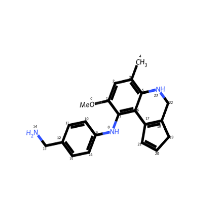 COc1cc(C)c2c(c1Nc1ccc(CN)cc1)C1=C(CC=C1)CN2